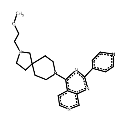 COCCN1CCC2(CCN(c3nc(-c4ccncc4)nc4cnccc34)CC2)C1